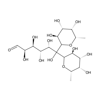 C[C@@H]1OC(C(O)(C2O[C@@H](C)[C@@H](O)[C@@H](O)[C@@H]2O)[C@@H](O)[C@H](O)[C@H](O)[C@@H](O)C=O)[C@@H](O)[C@H](O)[C@@H]1O